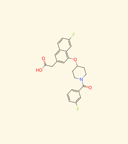 O=C(O)Cc1cc(OC2CCN(C(=O)c3cccc(F)c3)CC2)c2cc(F)ccc2c1